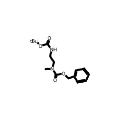 CN(CCNC(=O)OC(C)(C)C)C(=O)OCc1ccccc1